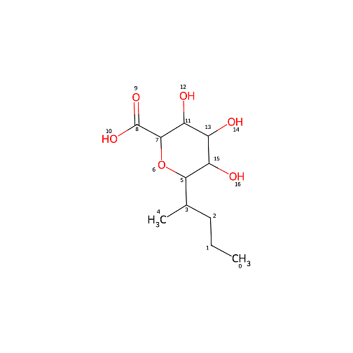 CCCC(C)C1OC(C(=O)O)C(O)C(O)C1O